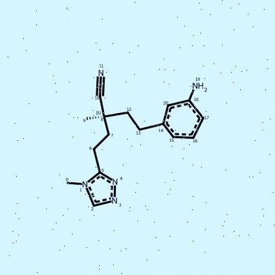 Cn1cnnc1CC[C@@](C)(C#N)CCc1cccc(N)c1